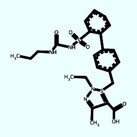 CCCNC(=O)NS(=O)(=O)c1ccccc1-c1ccc(CS2=C(C(=O)O)C(C)=NN2CC)cc1